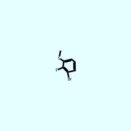 [CH2]Sc1cccc(Br)c1F